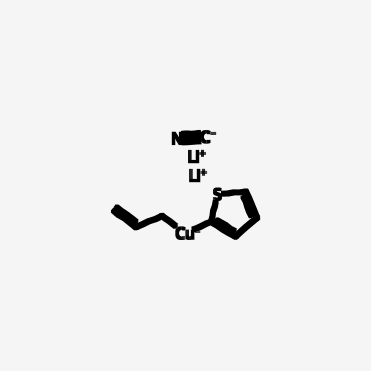 C=C[CH2][Cu-][c]1cccs1.[C-]#N.[Li+].[Li+]